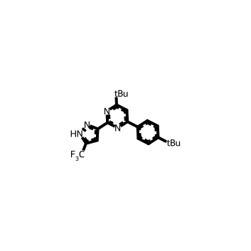 CC(C)(C)c1ccc(-c2cc(C(C)(C)C)nc(-c3cc(C(F)(F)F)[nH]n3)n2)cc1